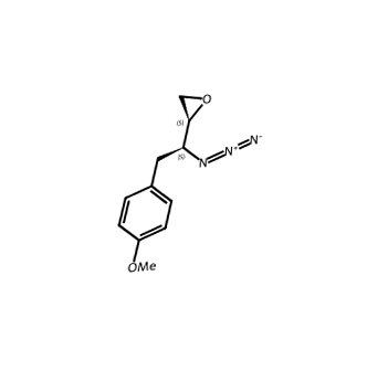 COc1ccc(C[C@H](N=[N+]=[N-])[C@H]2CO2)cc1